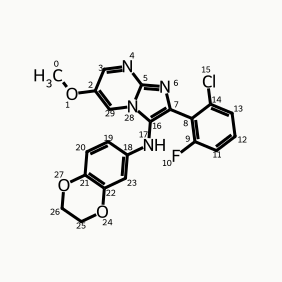 COc1cnc2nc(-c3c(F)cccc3Cl)c(Nc3ccc4c(c3)OCCO4)n2c1